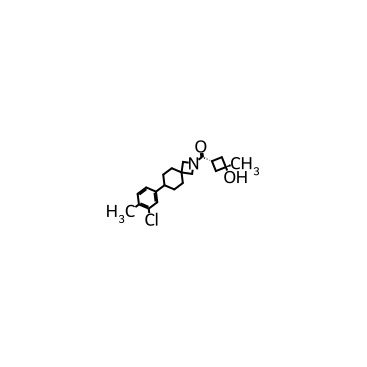 Cc1ccc(C2CCC3(CC2)CN(C(=O)[C@H]2C[C@@](C)(O)C2)C3)cc1Cl